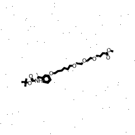 COC(=O)CCCOCCOCCOCCCCCCOc1cccc([C@@H](C)NC(=O)OC(C)(C)C)c1